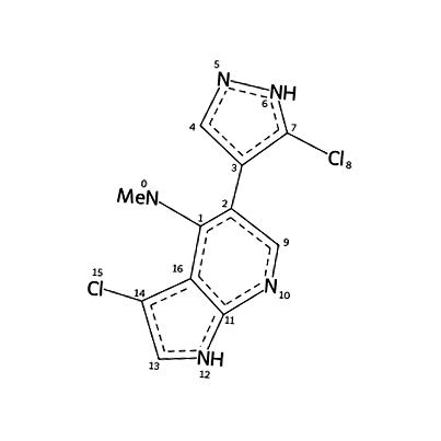 CNc1c(-c2cn[nH]c2Cl)cnc2[nH]cc(Cl)c12